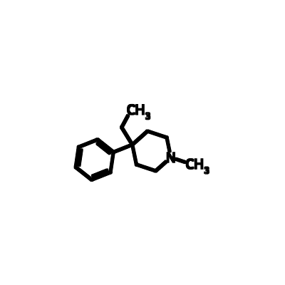 CCC1(c2ccccc2)CCN(C)CC1